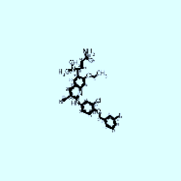 CCOc1cc2nc(Nc3ccc(OCc4cccc(F)c4)c(Cl)c3)c(C#N)cc2cc1C(C=CC(N)=O)N(C)C